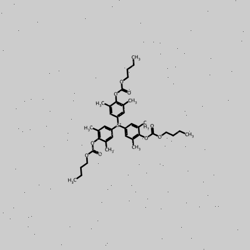 CCCCOC(=O)Oc1c(C)cc([S+](c2cc(C)c(OC(=O)OCCCC)c(C)c2)c2cc(C)c(OC(=O)OCCCC)c(C)c2)cc1C